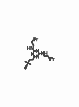 C#CC(C)(C)CCc1nc(NCCC(C)C)nc(NCCC(C)C)n1